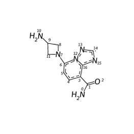 NC(=O)c1ccc(N2CC(N)C2)n2n[c]nc12